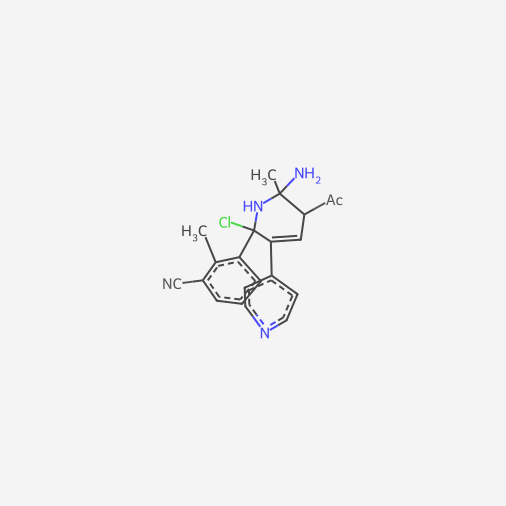 CC(=O)C1C=C(c2ccncc2)C(Cl)(c2cccc(C#N)c2C)NC1(C)N